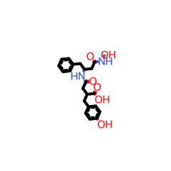 O=C(CC(Cc1ccccc1)NC(=O)CC(Cc1ccc(O)cc1)C(=O)O)NO